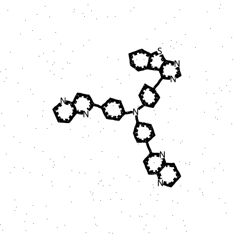 c1cnc2ccc(-c3ccc(N(c4ccc(-c5ccc6ncccc6n5)cc4)c4ccc(-c5ncnc6sc7ccccc7c56)cc4)cc3)nc2c1